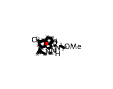 COCCNC(=O)[C@]1(c2ccccc2)N=CN(CC2CC2)[C@H]1c1ccc(Cl)cc1O